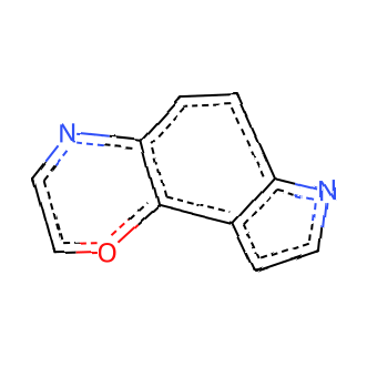 c1cc2c(ccc3nccoc32)n1